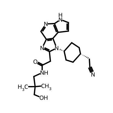 CC(C)(CO)CNC(=O)Cc1nc2cnc3[nH]ccc3c2n1[C@H]1CC[C@@H](CC#N)CC1